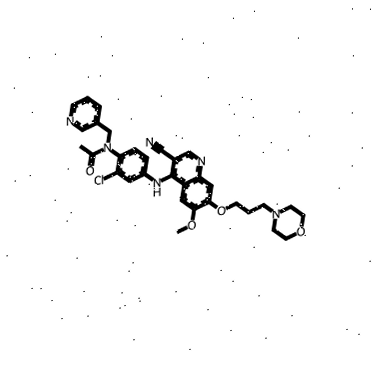 COc1cc2c(Nc3ccc(N(Cc4cccnc4)C(C)=O)c(Cl)c3)c(C#N)cnc2cc1OCCCN1CCOCC1